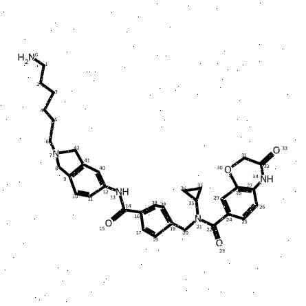 NCCCCCCN1Cc2ccc(NC(=O)c3ccc(CN(C(=O)c4ccc5c(c4)OCC(=O)N5)C4CC4)cc3)cc2C1